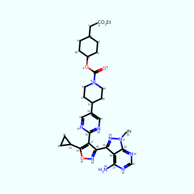 CCOC(=O)CC1CCC(OC(=O)N2CCC(c3cnc(-c4c(-c5nn(C(C)C)c6ncnc(N)c56)noc4C4CC4)nc3)CC2)CC1